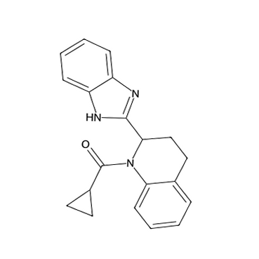 O=C(C1CC1)N1c2ccccc2CCC1c1nc2ccccc2[nH]1